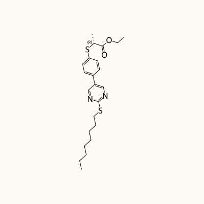 CCCCCCCCSc1ncc(-c2ccc(S[C@H](C)C(=O)OCC)cc2)cn1